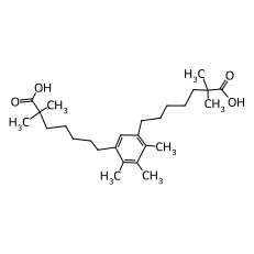 Cc1c(CCCCCC(C)(C)C(=O)O)cc(CCCCCC(C)(C)C(=O)O)c(C)c1C